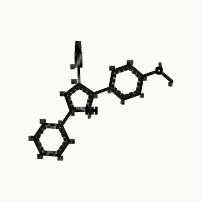 COc1ccc(-c2[nH]c(-c3ccccc3)cc2C#N)cc1